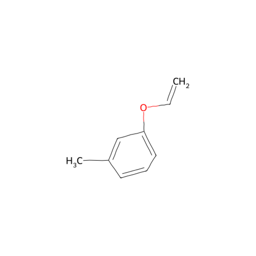 C=COc1cccc(C)c1